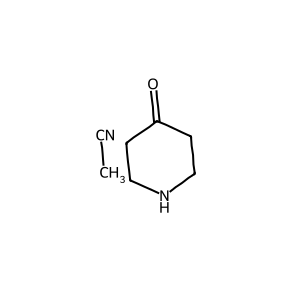 CC#N.O=C1CCNCC1